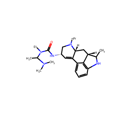 CCCN1C[C@@H](NC(=O)N(CC)C(C)N(C)C)C=C2c3cccc4c3[C@H](C[C@H]21)C(C)N4